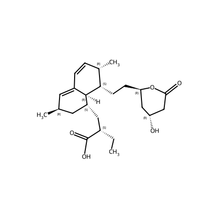 CC[C@@H](C[C@@H]1C[C@@H](C)C=C2C=C[C@H](C)[C@H](CC[C@@H]3C[C@@H](O)CC(=O)O3)[C@H]21)C(=O)O